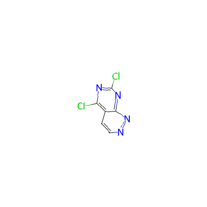 Clc1nc(Cl)c2ccnnc2n1